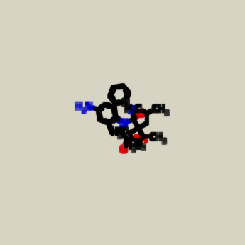 CC(C)CC(C(C)C)(C(C)C)C1(n2c(C(=O)O)cc3cc(N)ccc32)ON1[si]1ccccc1